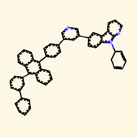 C1=CCC(n2c3ccc(-c4cncc(-c5ccc(-c6c7ccccc7c(-c7cccc(-c8ccccc8)c7)c7ccccc67)cc5)c4)cc3c3cccnc32)C=C1